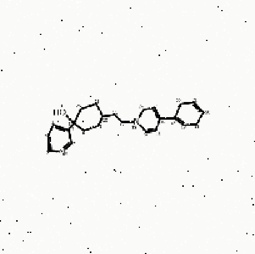 OC1(c2cccnc2)CCC(CCN2C=CC(C3=CCC=CC3)=CC2)CC1